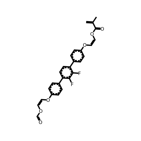 C=C(C)C(=O)O/C=C\Oc1ccc(-c2ccc(-c3ccc(O/C=C\OC=O)cc3)c(F)c2F)cc1